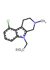 CCOC(=O)Cn1c2c(c3c(Cl)cccc31)CCN(C)C2